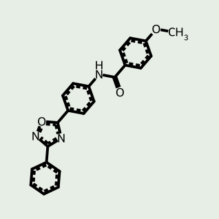 COc1ccc(C(=O)Nc2ccc(-c3nc(-c4ccccc4)no3)cc2)cc1